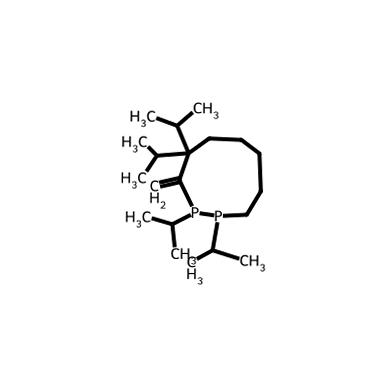 C=C1P(C(C)C)P(C(C)C)CCCCCC1(C(C)C)C(C)C